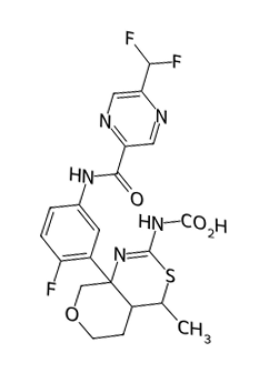 CC1SC(NC(=O)O)=NC2(c3cc(NC(=O)c4cnc(C(F)F)cn4)ccc3F)COCCC12